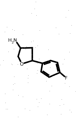 NC1COC(c2ccc(F)cc2)C1